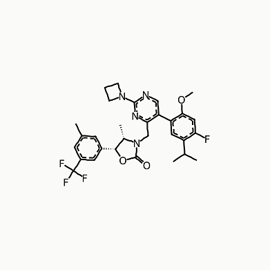 COc1cc(F)c(C(C)C)cc1-c1cnc(N2CCC2)nc1CN1C(=O)O[C@H](c2cc(C)cc(C(F)(F)F)c2)[C@@H]1C